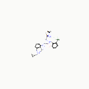 Cc1csc(CN(Cc2ccccc2C(F)(F)F)C(=O)CNc2cccc3c2CCN(CC2CC2)C3)n1